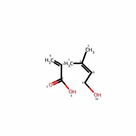 C=CC(=O)O.CC(C)=CCO